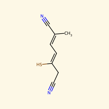 C/C(C#N)=C\C=C(/S)CC#N